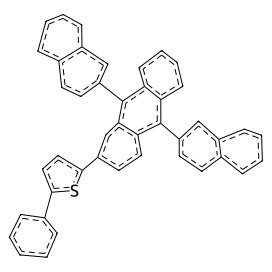 c1ccc(-c2ccc(-c3ccc4c(-c5ccc6ccccc6c5)c5ccccc5c(-c5ccc6ccccc6c5)c4c3)s2)cc1